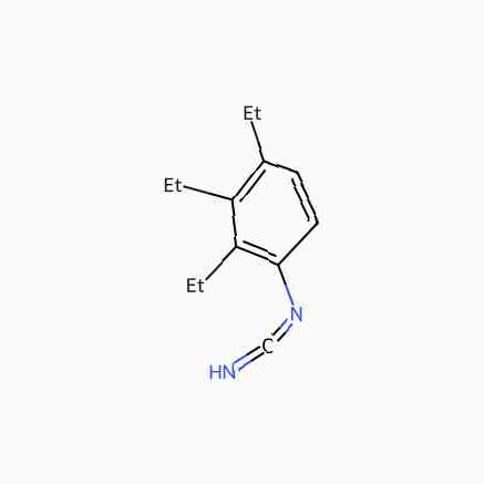 CCc1ccc(N=C=N)c(CC)c1CC